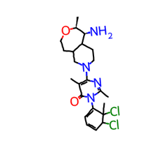 Cc1c(N2CCC3C(CCO[C@@H](C)[C@H]3N)C2)nc(C)n(C2=CC=CC(Cl)C2(C)Cl)c1=O